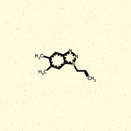 C=CCn1nnc2cc(C)c(C)cc21